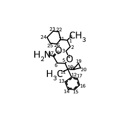 CC(CCOC(CC(N)=O)C(C)(c1ccccc1)C1CC1)C1CCCCC1